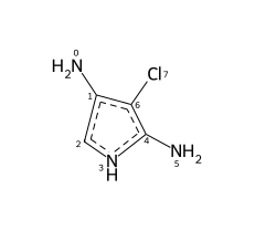 Nc1c[nH]c(N)c1Cl